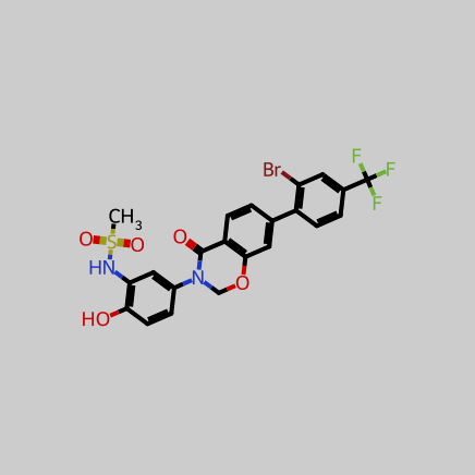 CS(=O)(=O)Nc1cc(N2COc3cc(-c4ccc(C(F)(F)F)cc4Br)ccc3C2=O)ccc1O